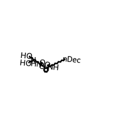 CCCCCCCCCCCCCCCCCCNC(=O)C1CC=CCC1COC(=O)NCCCN(CCO)CCO